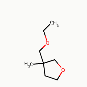 CCOCC1(C)CCOC1